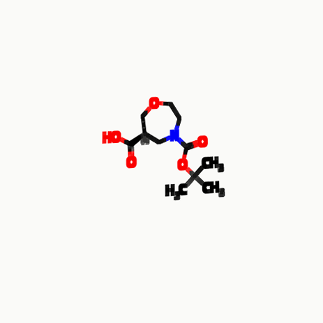 CC(C)(C)OC(=O)N1CCOC[C@H](C(=O)O)C1